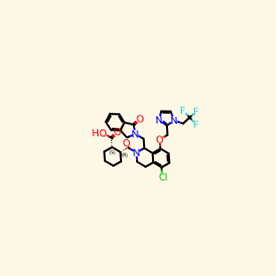 O=C(O)[C@H]1CCCC[C@H]1C(=O)N1CCc2c(Cl)ccc(OCc3nccn3CC(F)(F)F)c2C1CN1Cc2ccccc2C1=O